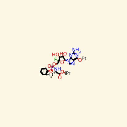 CCOc1nc(N)nc2c1ncn2C1O[C@](F)(CO[P@@](=O)(N[C@@H](C)C(=O)OC(C)C)Oc2ccccc2)[C@@H](O)[C@H]1O